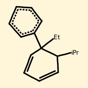 CCC1(c2ccccc2)C=CC=CC1C(C)C